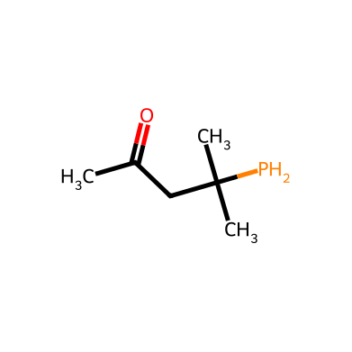 CC(=O)CC(C)(C)P